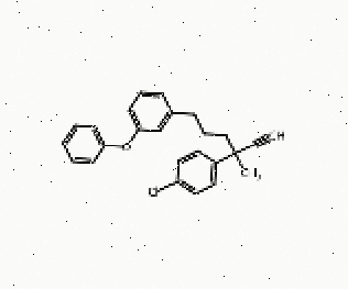 C#CC(C)(CCCc1cccc(Oc2ccccc2)c1)c1ccc(Cl)cc1